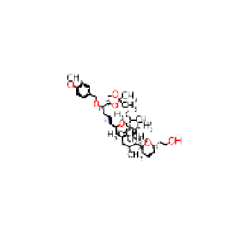 C=C(CC(/C=C/C[C@@H](OCc1ccc(OC)cc1)[C@@H]1COC(C)(C)O1)O[Si](C(C)C)(C(C)C)C(C)C)C[C@H](C)C[C@@H]1CC=C[C@@H](CCO)O1